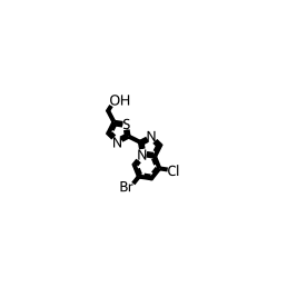 OCc1cnc(-c2ncc3c(Cl)cc(Br)cn23)s1